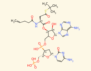 C=CCCC(=O)N[C@@H](CC(=O)SC(C)(C)C)C(=O)O[C@@H]1C(COP(=O)(O)[C@H]2C[C@H](n3ccc(N)nc3=O)O[C@@H]2COP(=O)(O)O)O[C@@H](n2cnc3c(N)ncnc32)[C@@H]1O